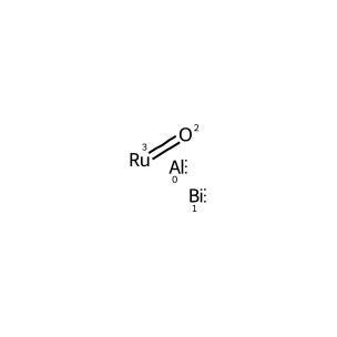 [Al].[Bi].[O]=[Ru]